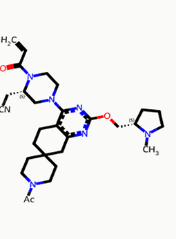 C=CC(=O)N1CCN(c2nc(OC[C@@H]3CCCN3C)nc3c2CCC2(CCN(C(C)=O)CC2)C3)C[C@@H]1CC#N